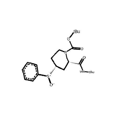 CC(C)(C)NC(=O)[C@@H]1C[C@H]([S+]([O-])c2ccccc2)CCN1C(=O)OC(C)(C)C